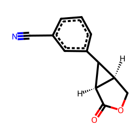 N#Cc1cccc(C2[C@H]3COC(=O)[C@@H]23)c1